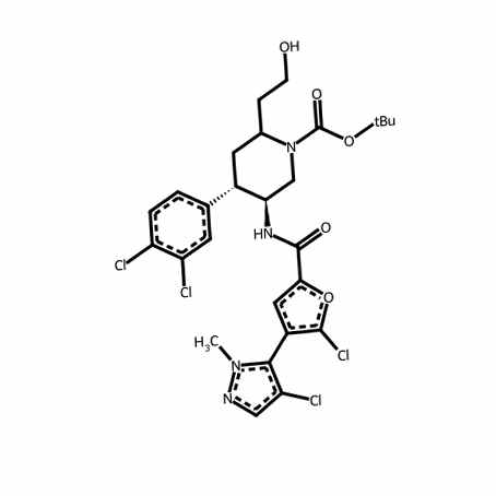 Cn1ncc(Cl)c1-c1cc(C(=O)N[C@@H]2CN(C(=O)OC(C)(C)C)C(CCO)C[C@H]2c2ccc(Cl)c(Cl)c2)oc1Cl